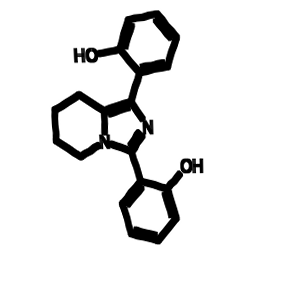 Oc1ccccc1-c1nc(-c2ccccc2O)n2c1CCCC2